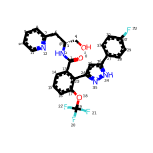 O=C(N[C@@H](CO)Cc1ccccn1)c1cccc(OC(F)(F)F)c1-c1cc(-c2ccc(F)cc2)[nH]n1